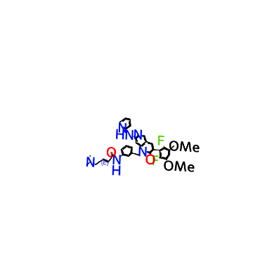 COc1cc(OC)c(F)c(-c2cc3cnc(Nc4ccccn4)cc3n(Cc3cccc(NC(=O)/C=C/CN(C)C)c3)c2=O)c1F